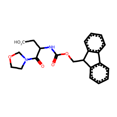 O=C(O)CC(NC(=O)OCC1c2ccccc2-c2ccccc21)C(=O)N1CCOC1